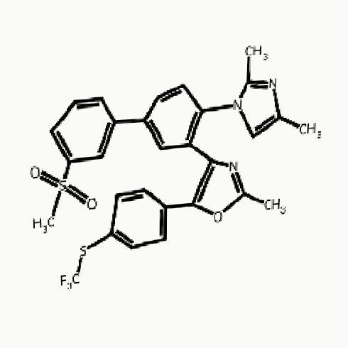 Cc1cn(-c2ccc(-c3cccc(S(C)(=O)=O)c3)cc2-c2nc(C)oc2-c2ccc(SC(F)(F)F)cc2)c(C)n1